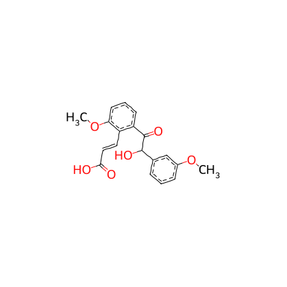 COc1cccc(C(O)C(=O)c2cccc(OC)c2C=CC(=O)O)c1